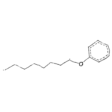 [CH2]CCCCCC[CH]Oc1ccccc1